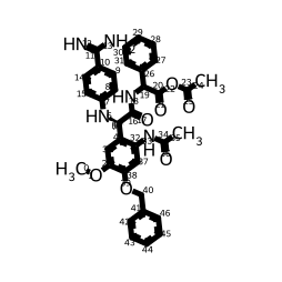 COc1cc([C@@H](Nc2ccc(C(=N)N)cc2)C(=O)NC(C(=O)OC(C)=O)c2ccccc2)c(NC(C)=O)cc1OCc1ccccc1